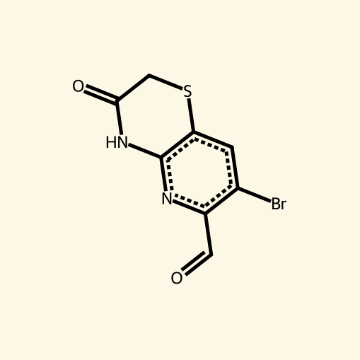 O=Cc1nc2c(cc1Br)SCC(=O)N2